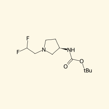 CC(C)(C)OC(=O)N[C@@H]1CCN(CC(F)F)C1